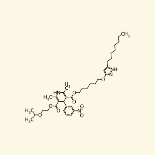 CCCCCCCCc1cc(OCCCCCCOC(=O)C2=C(C)NC(C)=C(C(=O)OCCOC(C)C)C2c2cccc([N+](=O)[O-])c2)n[nH]1